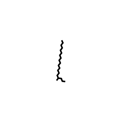 CCCCCCCCCCCCCCCC(C)CCC